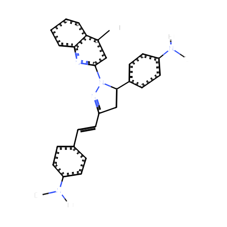 CCN(CC)c1ccc(C=CC2=NN(c3cc(C)c4ccccc4n3)C(c3ccc(N(CC)CC)cc3)C2)cc1